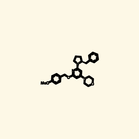 COc1ccc(COc2cc(N3CCOCC3)cc(N3CCC[C@H]3Cc3ccccc3)n2)cc1